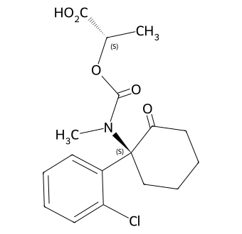 C[C@H](OC(=O)N(C)[C@]1(c2ccccc2Cl)CCCCC1=O)C(=O)O